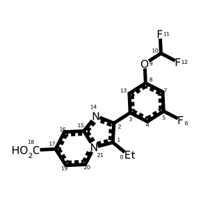 CCc1c(-c2cc(F)cc(OC(F)F)c2)nc2cc(C(=O)O)ccn12